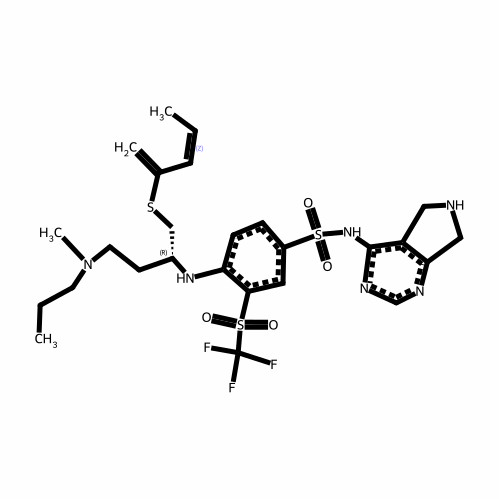 C=C(/C=C\C)SC[C@@H](CCN(C)CCC)Nc1ccc(S(=O)(=O)Nc2ncnc3c2CNC3)cc1S(=O)(=O)C(F)(F)F